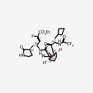 CCOC(=O)/C(F)=C/[C@@H](C[C@H]1CCNC1=O)NC(=O)[C@@H]1[C@@H]2CC[C@@H](CC2(F)F)N1C(=O)[C@H](CC1CCC1)NC(=O)C(F)(F)F